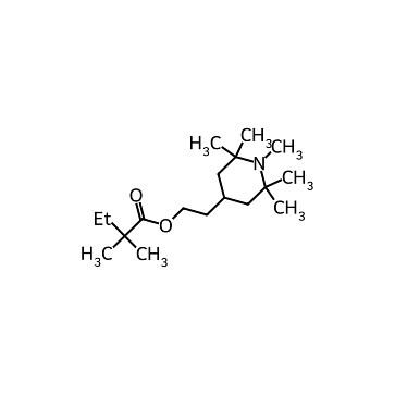 CCC(C)(C)C(=O)OCCC1CC(C)(C)N(C)C(C)(C)C1